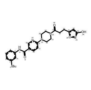 CC(C)(C)c1cccc(NC(=O)c2ccc(N3CCN(C(=O)CCc4cc(O)no4)CC3)nc2)c1